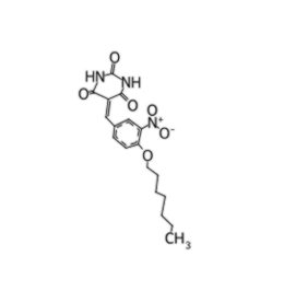 CCCCCCCOc1ccc(C=C2C(=O)NC(=O)NC2=O)cc1[N+](=O)[O-]